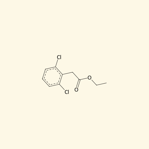 CCOC(=O)Cc1c(Cl)cccc1Cl